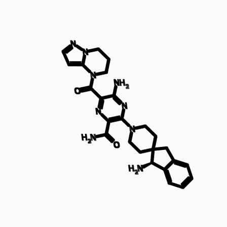 NC(=O)c1nc(C(=O)N2CCCn3nccc32)c(N)nc1N1CCC2(CC1)Cc1ccccc1[C@H]2N